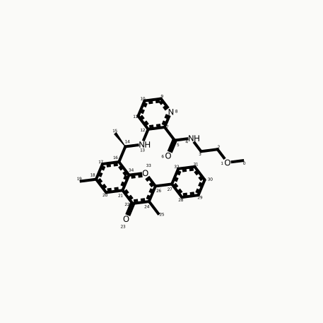 COCCNC(=O)c1ncccc1N[C@H](C)c1cc(C)cc2c(=O)c(C)c(-c3ccccc3)oc12